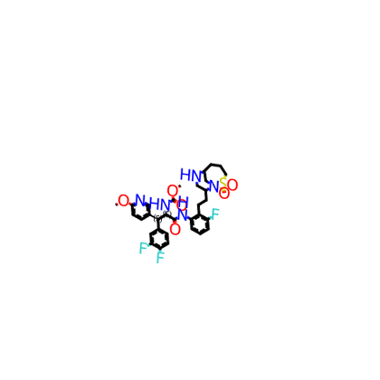 COC(=O)N[C@H](C(=O)Nc1cccc(F)c1CCC1CNC2CCCS(=O)(=O)N1C2)[C@H](c1ccc(OC)nc1)c1ccc(F)c(F)c1